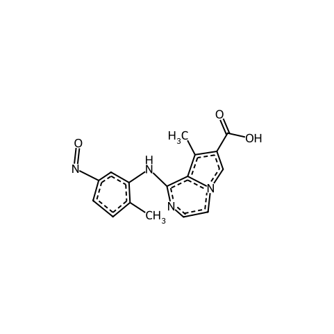 Cc1ccc(N=O)cc1Nc1nccn2cc(C(=O)O)c(C)c12